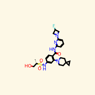 C[C@@H](CO)S(=O)(=O)Nc1ccc(C(=O)Nc2cccc(N3CC(F)C3)n2)c(N2CCC3(CC2)CC3)c1